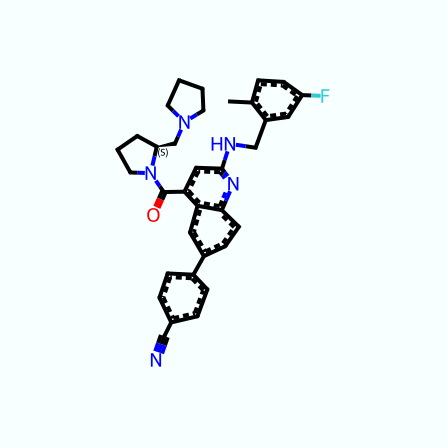 Cc1ccc(F)cc1CNc1cc(C(=O)N2CCC[C@H]2CN2CCCC2)c2cc(-c3ccc(C#N)cc3)ccc2n1